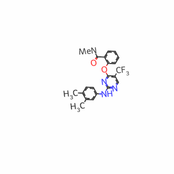 CNC(=O)c1ccccc1Oc1nc(Nc2ccc(C)c(C)c2)ncc1C(F)(F)F